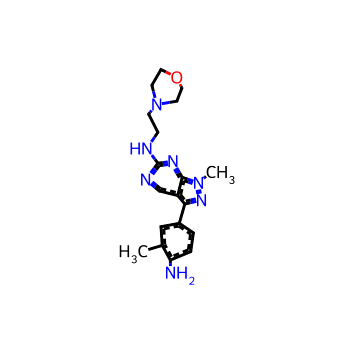 Cc1cc(-c2nn(C)c3nc(NCCN4CCOCC4)ncc23)ccc1N